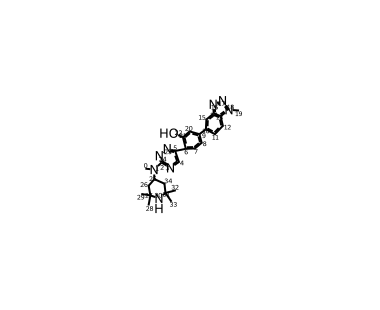 CN(c1ncc(-c2ccc(-c3ccc4c(c3)nnn4C)cc2O)nn1)C1CC(C)(C)NC(C)(C)C1